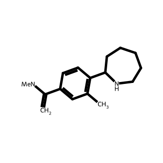 C=C(NC)c1ccc(C2CCCCCN2)c(C)c1